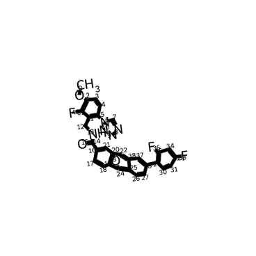 COc1ccc(-n2cnnn2)c(CNC(=O)c2ccc3c(c2)c2oc3c3ccc(-c4ccc(F)cc4F)cc32)c1F